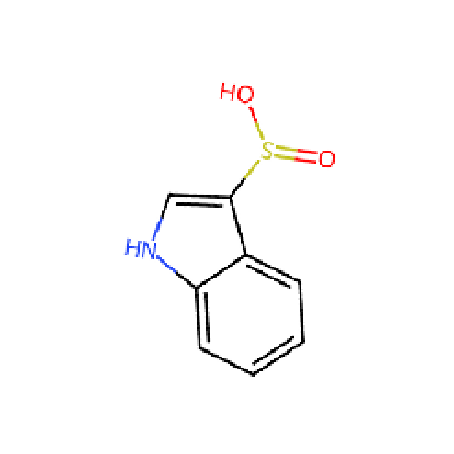 O=S(O)c1c[nH]c2ccccc12